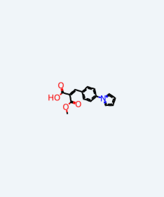 COC(=O)/C(=C\c1ccc(-n2cccc2)cc1)C(=O)O